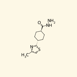 Cc1csc([C@H]2CC[C@H](C(=O)NN)CC2)n1